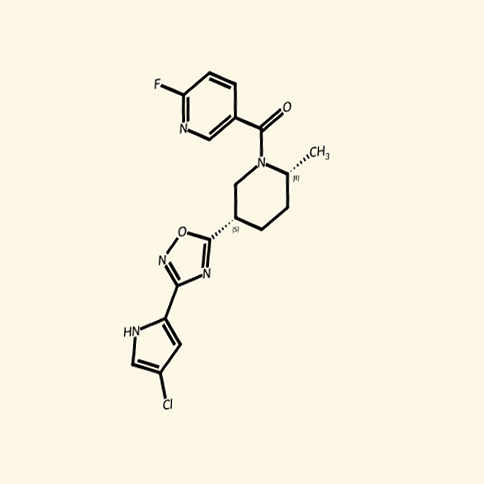 C[C@@H]1CC[C@H](c2nc(-c3cc(Cl)c[nH]3)no2)CN1C(=O)c1ccc(F)nc1